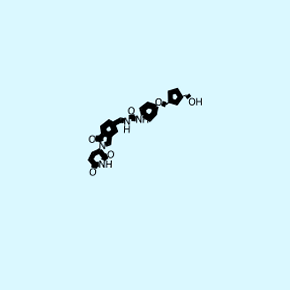 O=C1CCC(N2Cc3cc(CNC(=O)Nc4ccc(OC[C@@H]5CC[C@H](CO)C5)cc4)ccc3C2=O)C(=O)N1